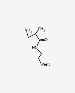 CCCC(C)CCNC(=O)C(C)CN